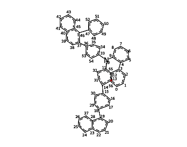 c1ccc(-c2ccccc2N(c2ccc(-c3ccc(-c4cccc5ccccc45)cc3)cc2)c2ccc(-c3ccc4ccccc4c3-c3ccccc3)cc2)cc1